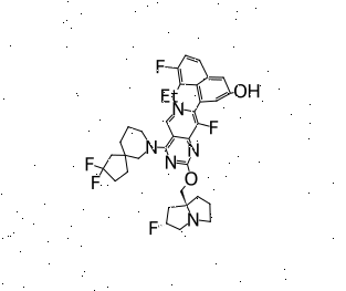 CCc1c(F)ccc2cc(O)cc(-c3ncc4c(N5CCCC6(CCC(F)(F)C6)C5)nc(OC[C@@]56CCCN5C[C@H](F)C6)nc4c3F)c12